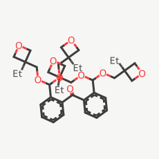 CCC1(COC(OCC2(CC)COC2)c2ccccc2C(=O)c2ccccc2C(OCC2(CC)COC2)OCC2(CC)COC2)COC1